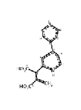 C=C(C(=O)O)C(C(=O)O)c1cc(-c2ccncc2)ccn1